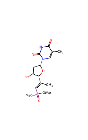 COP(=O)(/C=C(\C)[C@H]1O[C@@H](n2cc(C)c(=O)[nH]c2=O)CC1O)OC